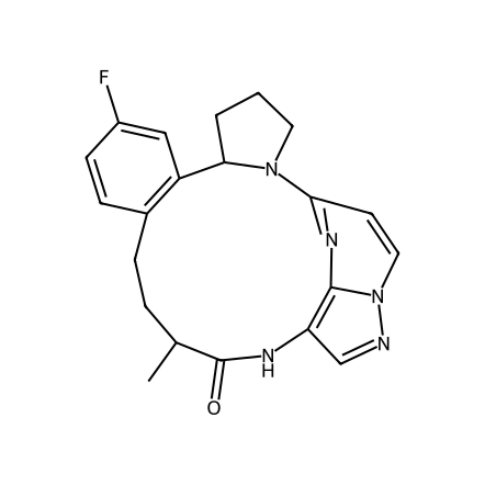 CC1CCc2ccc(F)cc2C2CCCN2c2ccn3ncc(c3n2)NC1=O